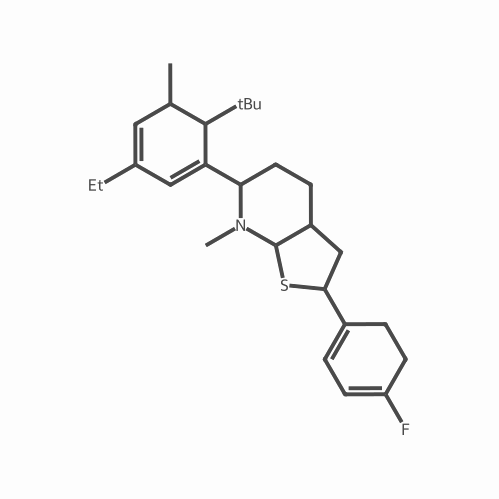 CCC1=CC(C)C(C(C)(C)C)C(C2CCC3CC(C4=CC=C(F)CC4)SC3N2C)=C1